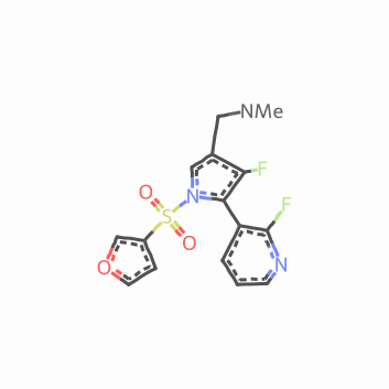 CNCc1cn(S(=O)(=O)c2ccoc2)c(-c2cccnc2F)c1F